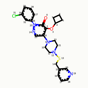 O=c1c(OC2CCC2)c(N2CCN(SCc3cccnc3)CC2)cnn1-c1cccc(Cl)c1